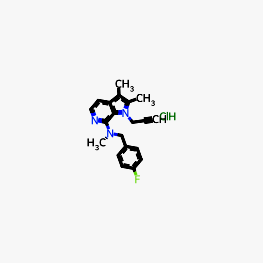 C#CCn1c(C)c(C)c2ccnc(N(C)Cc3ccc(F)cc3)c21.Cl